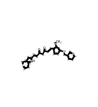 COc1cc(OCc2cccnc2)ccc1/C=C/C(=O)CC(=O)/C=C/c1cc2ccccc2[nH]1